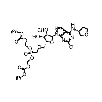 CC(C)OC(=O)OCOP(=O)(COC[C@H]1O[C@@H](n2ncc3c(N[C@H]4CCOC4)nc(Cl)nc32)[C@H](C=O)[C@@H]1O)OCOC(=O)OC(C)C